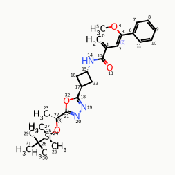 C=C(/C=C(\OC)c1ccccc1)C(=O)N[C@H]1C[C@H](c2nnc([C@@H](C)O[Si](C)(C)C(C)(C)C)o2)C1